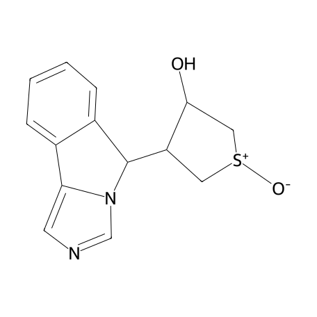 [O-][S+]1CC(O)C(C2c3ccccc3-c3cncn32)C1